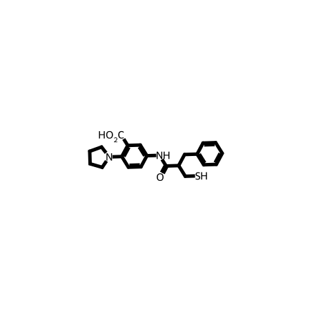 O=C(O)c1cc(NC(=O)C(CS)Cc2ccccc2)ccc1N1CCCC1